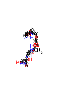 CN(CCOC(=O)c1ccc(COc2cccc(C(NC(=O)O[C@H]3CN4CCC3CC4)c3ccccc3)c2)cc1)C(=O)Nc1ccc(CNC[C@H](O)c2ccc(O)c3[nH]c(=O)ccc23)cc1